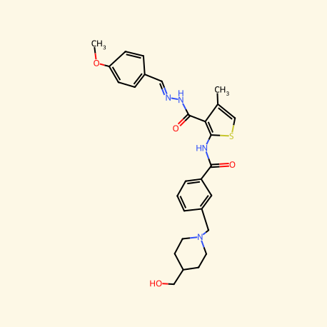 COc1ccc(C=NNC(=O)c2c(C)csc2NC(=O)c2cccc(CN3CCC(CO)CC3)c2)cc1